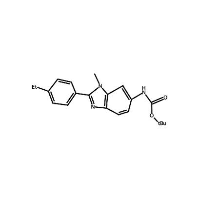 CCc1ccc(-c2nc3ccc(NC(=O)OC(C)(C)C)cc3n2C)cc1